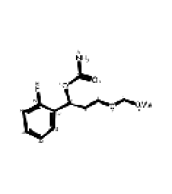 COCOCC[C@H](OC(N)=O)c1ccccc1F